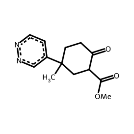 COC(=O)C1CC(C)(c2ccnnc2)CCC1=O